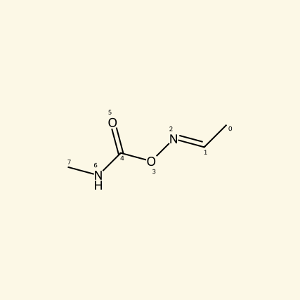 C/C=N/OC(=O)NC